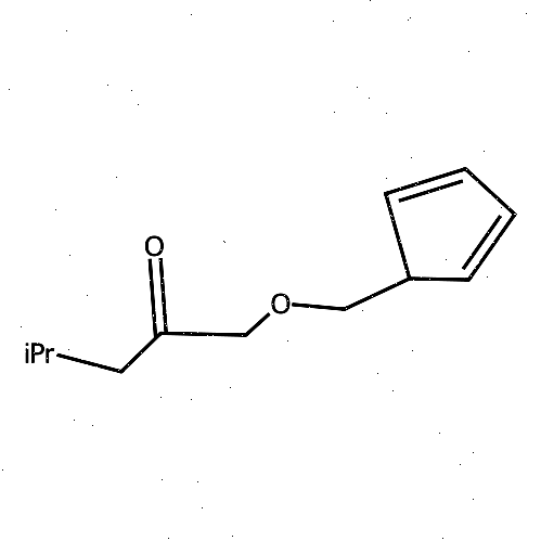 CC(C)CC(=O)COCC1C=CC=C1